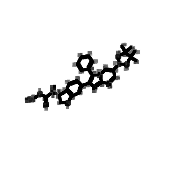 CC(C)(C)OC(=O)N[C@H]1COc2cc(-c3nc4ncc(B5OC(C)(C)C(C)(C)O5)cn4c3-c3ccccc3)ccc21